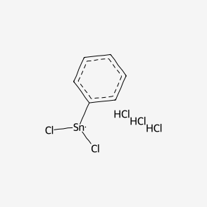 Cl.Cl.Cl.[Cl][Sn]([Cl])[c]1ccccc1